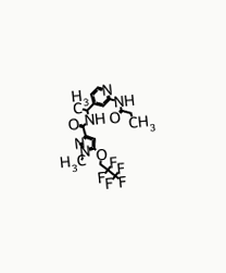 CCC(=O)Nc1cc(C(C)NC(=O)c2cc(OCC(F)(F)C(F)(F)F)n(C)n2)ccn1